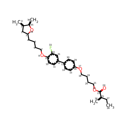 C=C1CC(CCCCOc2ccc(-c3ccc(OCCCCOC(=O)C(=C)CC)cc3)cc2F)OC1=C